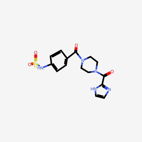 O=C(c1ccc(N[SH](=O)=O)cc1)N1CCN(C(=O)c2ncc[nH]2)CC1